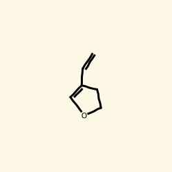 C=CC1=COCC1